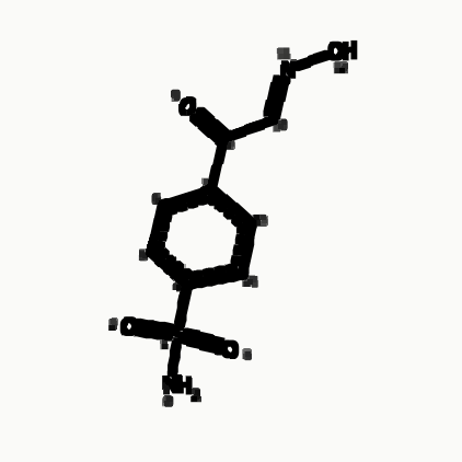 NS(=O)(=O)c1ccc(C(=O)C=NO)cc1